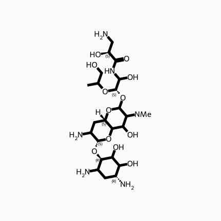 CNC1C(O[C@H](OC(C)CO)C(O)NC(=O)[C@@H](O)CN)O[C@H]2CC(N)[C@@H](O[C@@H]3C(N)C[C@@H](N)C(O)C3O)OC2C1O